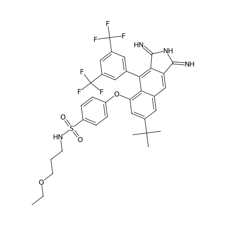 CCOCCCNS(=O)(=O)c1ccc(Oc2cc(C(C)(C)C)cc3cc4c(c(-c5cc(C(F)(F)F)cc(C(F)(F)F)c5)c23)C(=N)NC4=N)cc1